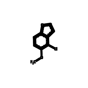 FC(F)(F)Oc1ccc2o[c]cc2c1Cl